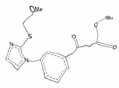 COCSc1nccn1-c1cccc(C(=O)CC(=O)OC(C)(C)C)c1